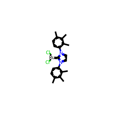 Cc1ccc(-n2ccn(-c3ccc(C)c(C)c3C)[c]2=[Ru]([Cl])[Cl])c(C)c1C